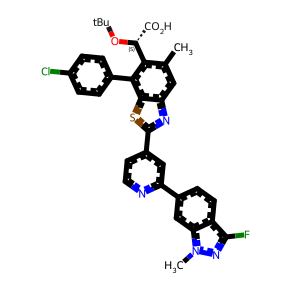 Cc1cc2nc(-c3ccnc(-c4ccc5c(F)nn(C)c5c4)c3)sc2c(-c2ccc(Cl)cc2)c1[C@H](OC(C)(C)C)C(=O)O